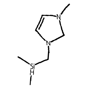 CN1C=CN(C[SiH](C)C)C1